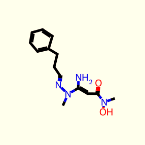 CN(O)C(=O)/C=C(\N)N(C)/N=C/CCc1ccccc1